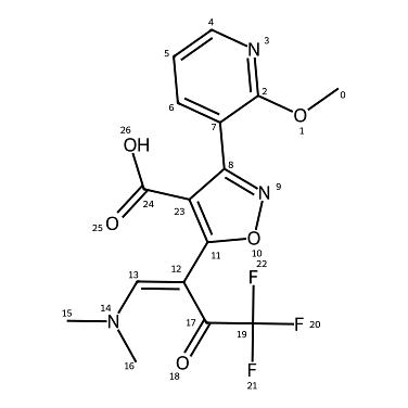 COc1ncccc1-c1noc(/C(=C/N(C)C)C(=O)C(F)(F)F)c1C(=O)O